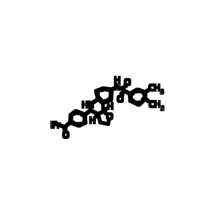 Cc1ccc(S(=O)(=O)Nc2ccc3c(c2)[C@@H]2OCC[C@@H]2C(c2ccc(C(=O)C(C)C)cc2)N3)cc1C